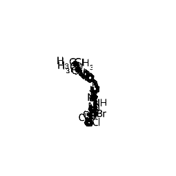 CC(C)(C)OC(=O)N1CCC2(CCC(CN3CCC(n4cc(Nc5ncc6c(=O)n(-c7c(Cl)cccc7Cl)cc(Br)c6n5)cn4)CC3)CC2)CC1